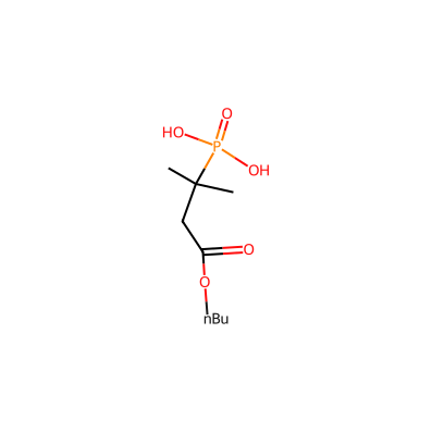 CCCCOC(=O)CC(C)(C)P(=O)(O)O